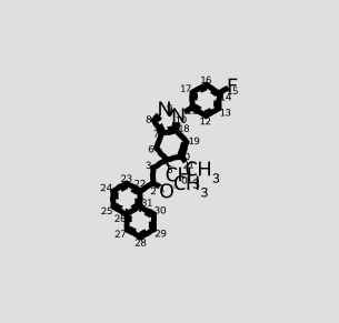 COC(C[C@@]1(C)Cc2cnn(-c3ccc(F)cc3)c2C=C1C)c1cccc2ccccc12